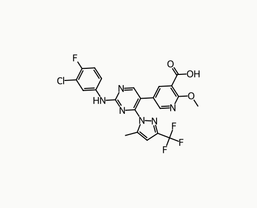 COc1ncc(-c2cnc(Nc3ccc(F)c(Cl)c3)nc2-n2nc(C(F)(F)F)cc2C)cc1C(=O)O